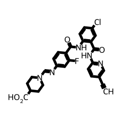 C#Cc1ccc(NC(=O)c2cc(Cl)ccc2NC(=O)c2ccc(N=CN3CCC(C(=O)O)CC3)cc2F)nc1